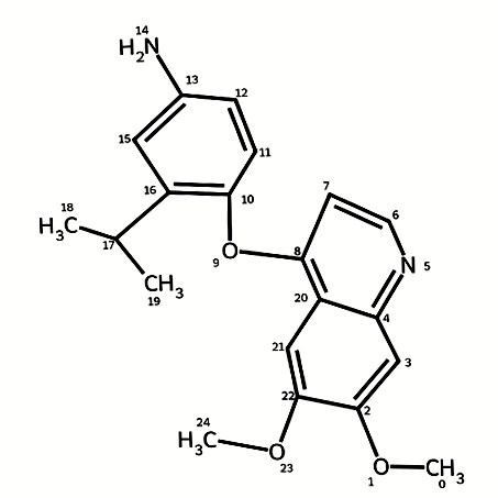 COc1cc2nccc(Oc3ccc(N)cc3C(C)C)c2cc1OC